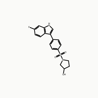 O=S(=O)(c1ccc(-c2c[nH]c3cc(F)ccc23)cc1)N1CCC(O)C1